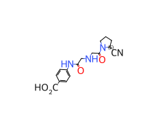 N#C[C@@H]1CCCN1C(=O)CNCC(=O)Nc1ccc(C(=O)O)cc1